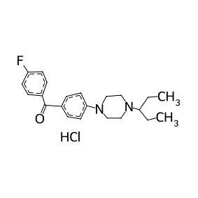 CCC(CC)N1CCN(c2ccc(C(=O)c3ccc(F)cc3)cc2)CC1.Cl